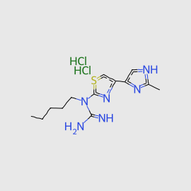 CCCCCN(C(=N)N)c1nc(-c2c[nH]c(C)n2)cs1.Cl.Cl